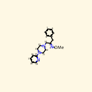 CO/N=C(\Cc1ccccc1)CN1CCN(c2ccccn2)CC1